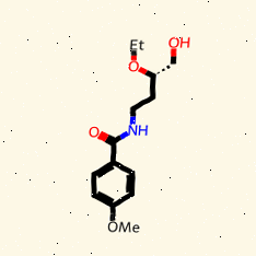 CCO[C@H](CO)CCNC(=O)c1ccc(OC)cc1